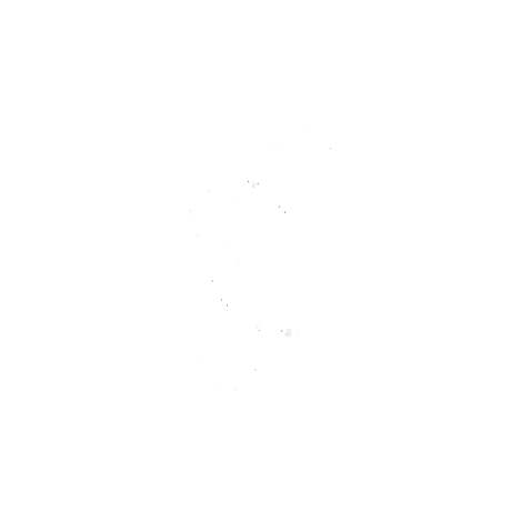 N=C(Nc1cccc(CCNCc2ccccc2CN)c1)c1cccs1